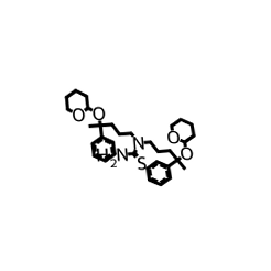 CC(CCCN(CCCC(C)(OC1CCCCO1)c1ccccc1)C(N)=S)(OC1CCCCO1)c1ccccc1